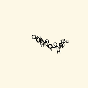 Cc1cc(NC(=O)c2cn3nc(Cl)ccc3n2)ccc1CC(=O)Nc1cc(C(C)(C)C)on1